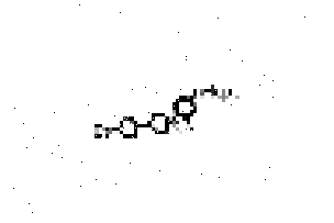 CCCCCCCc1ccc(C2(C#N)CCC(C3CCC(CC)CC3)CC2)cc1